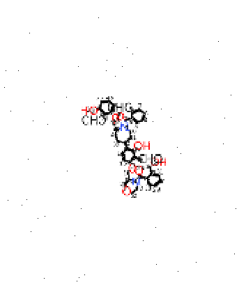 O=Cc1ccccc1C(=O)N1CCC(c2ccc(OC[C@@H]3COCCN3C(=O)c3ccccc3CO)c(C=O)c2O)CC[C@H]1COc1cccc(O)c1C=O